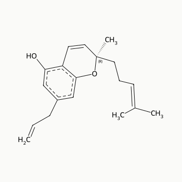 C=CCc1cc(O)c2c(c1)O[C@](C)(CCC=C(C)C)C=C2